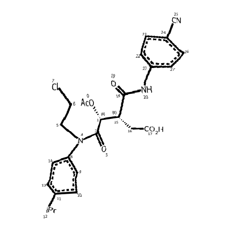 CC(=O)O[C@@H](C(=O)N(CCCl)c1ccc(C(C)C)cc1)[C@@H](CC(=O)O)C(=O)Nc1ccc(C#N)cc1